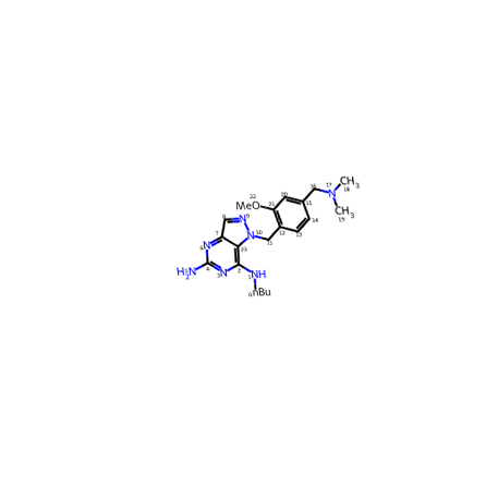 CCCCNc1nc(N)nc2cnn(Cc3ccc(CN(C)C)cc3OC)c12